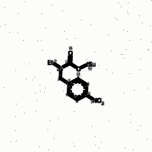 CCN(Cc1ccc([N+](=O)[O-])cc1)C(=O)OC(C)(C)C